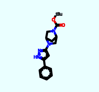 CC(C)(C)OC(=O)N1CC2CC1CN2c1cc(-c2ccccc2)[nH]n1